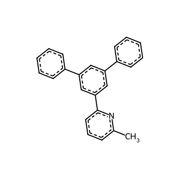 Cc1cccc(-c2cc(-c3ccccc3)cc(-c3ccccc3)c2)n1